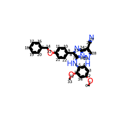 COc1ccc(Nc2c(-c3ccc(OCc4ccccc4)cc3)nc3c(C#N)c[nH]n23)c(OC)c1